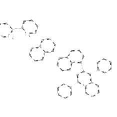 c1ccc(-c2c3c(c(-c4ccccc4)c4ccccc24)-c2ccc(-c4ccc(-c5cccc(-c6ccccn6)n5)c5ccccc45)c4cccc-3c24)cc1